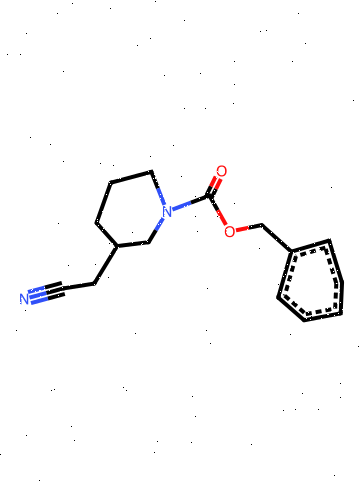 N#CCC1CCCN(C(=O)OCc2ccccc2)C1